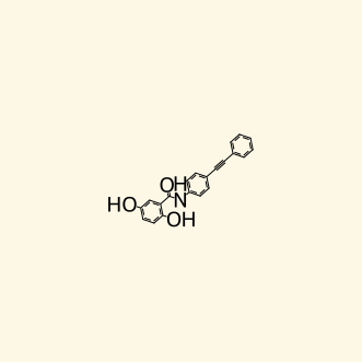 O=C(Nc1ccc(C#Cc2ccccc2)cc1)c1cc(O)ccc1O